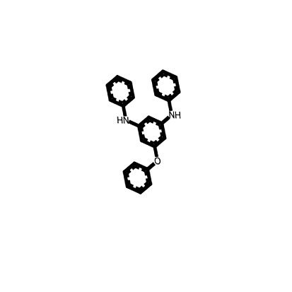 c1ccc(Nc2cc(Nc3ccccc3)cc(Oc3ccccc3)c2)cc1